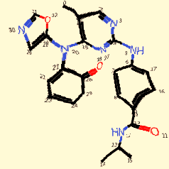 Cc1cnc(Nc2ccc(C(=O)NC(C)C)cc2)nc1N(C1=CC=CCC1=O)c1cnco1